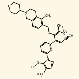 C#C/C=C(\C(OCc1ccc2c(c1C)CCN(C1CCOCC1)C2)=C(C)C)c1cccc(-n2ncc(C(=O)O)c2OCC)n1